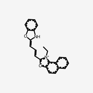 CC[n+]1c(C=CC=C2Nc3ccccc3O2)oc2ccc3ccccc3c21